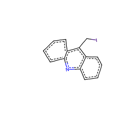 ICc1c2ccccc2nc2ccccc12